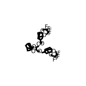 O=C(OCC1OC2(OC1COCC13CC4CC(C1)C1(OCC(F)(F)C(F)(F)CO1)C(C4)C3)C1CC3CC(C1)CC2C3)C12CC3CC(C1)C1(OCC(F)(F)C(F)(F)CO1)C(C3)C2